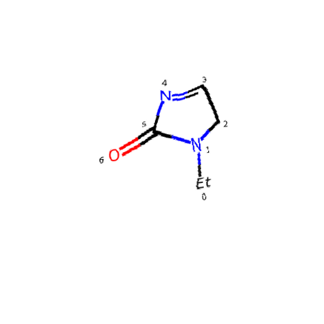 CCN1CC=NC1=O